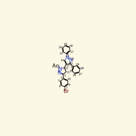 CC(=O)N1N=C(c2ccc(Br)cc2)CC1c1cn(-c2ccccc2)nc1-c1ccccc1